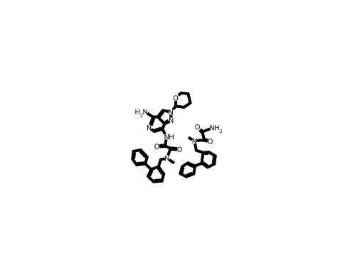 CN(Cc1ccccc1-c1ccccc1)C(=O)C(=O)Nc1cnc(N)c2cn(C3CCCCO3)nc12.CN(Cc1ccccc1-c1ccccc1)C(=O)C(N)=O